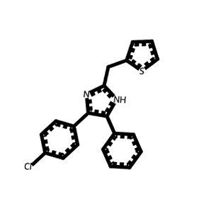 Clc1ccc(-c2nc(Cc3cccs3)[nH]c2-c2ccccc2)cc1